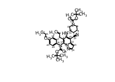 C=CCc1c(N[C@H]2CCCN(C(=O)OC(C)(C)C)C2)c(C#N)c2ccnn2c1N(C(=O)OC(C)(C)C)c1ccc(OCC)cc1